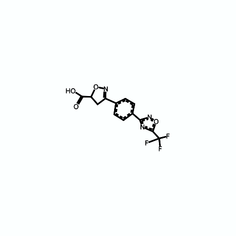 O=C(O)C1CC(c2ccc(-c3noc(C(F)(F)F)n3)cc2)=NO1